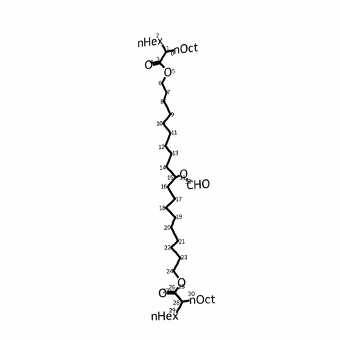 CCCCCCCCC(CCCCCC)C(=O)OCCCCCCCCCC(CCCCCCCCCOC(=O)C(CCCCCC)CCCCCCCC)OC=O